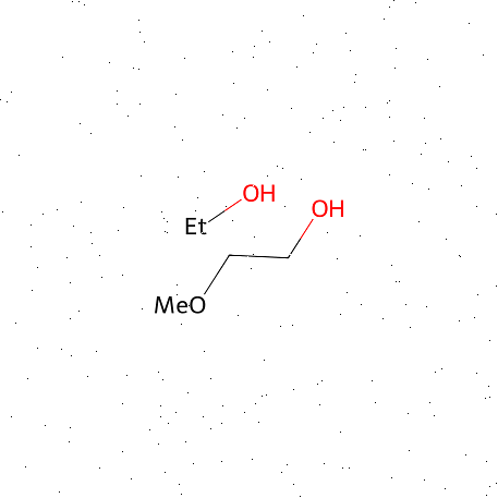 CCO.COCCO